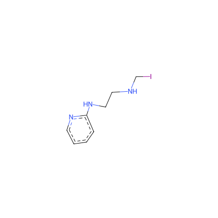 ICNCCNc1ccccn1